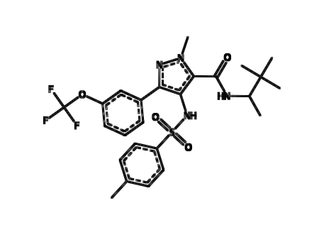 Cc1ccc(S(=O)(=O)Nc2c(-c3cccc(OC(F)(F)F)c3)nn(C)c2C(=O)NC(C)C(C)(C)C)cc1